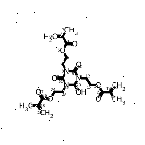 C=C(C)C(=O)OCCN1C(=O)N(CCOC(=O)C(=C)C)C(O)N(CCOC(=O)C(=C)C)C1=O